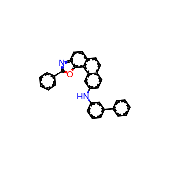 c1ccc(-c2cccc(Nc3ccc4ccc5ccc6nc(-c7ccccc7)oc6c5c4c3)c2)cc1